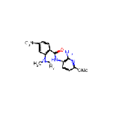 COc1ccc(NC(=O)c2ccc([N+](=O)[O-])cc2N(C)C)c(N)n1